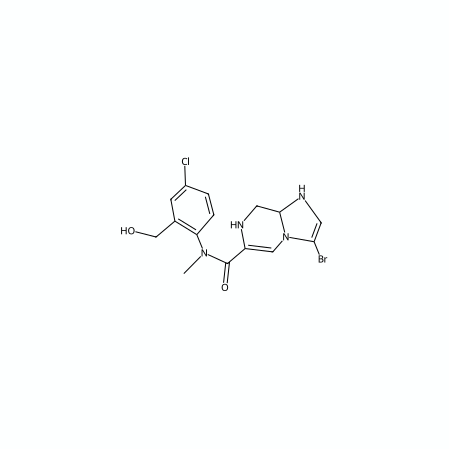 CN(C(=O)C1=CN2C(Br)=CNC2CN1)c1ccc(Cl)cc1CO